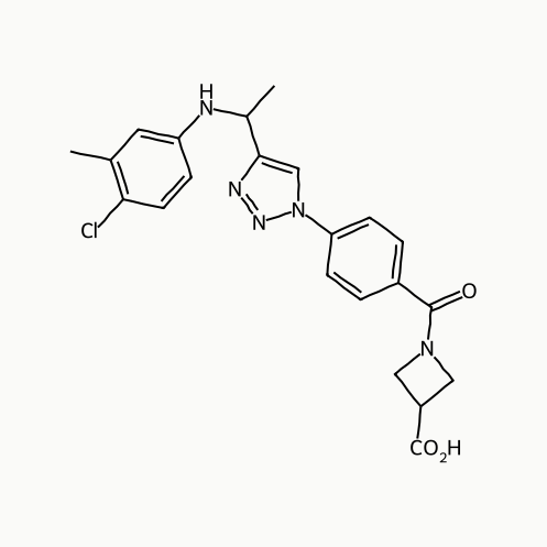 Cc1cc(NC(C)c2cn(-c3ccc(C(=O)N4CC(C(=O)O)C4)cc3)nn2)ccc1Cl